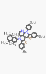 CC(C)(C)c1ccc(N2c3nccc4c3B(c3sc5cc(C(C)(C)C)ccc5c3N4c3ccc4c(c3)C(C)(C)CCC4(C)C)c3sc4cc(C(C)(C)C)ccc4c32)cc1